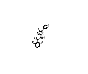 Cc1nc(NC(=O)c2c(F)cccc2F)sc1-c1ccsc1